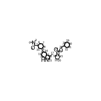 CN(C)C(=O)c1cccc(-c2ccc3[nH]cc(C[C@H]4CCCN4C(=O)OCc4ccccc4)c3c2)c1